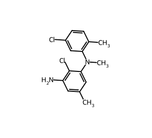 Cc1cc(N)c(Cl)c(N(C)c2cc(Cl)ccc2C)c1